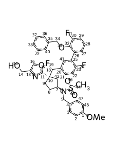 COc1ccc(CN([C@H]2CC[C@@](c3nc(CO)co3)([C@H](F)c3ccc(F)c(-c4cccc(F)c4OCc4ccccc4)c3)C2)S(C)(=O)=O)cc1